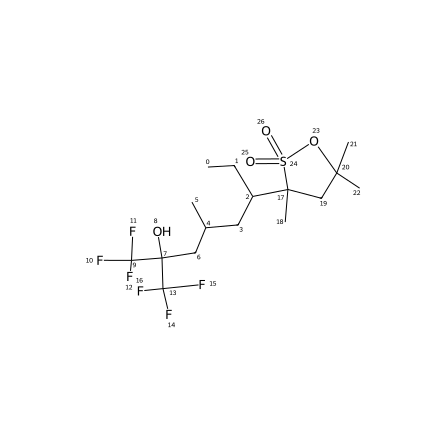 CCC(CC(C)CC(O)(C(F)(F)F)C(F)(F)F)C1(C)CC(C)(C)OS1(=O)=O